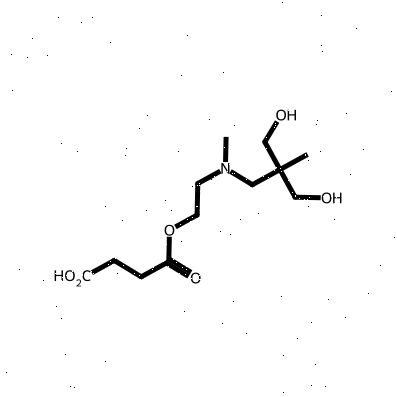 CN(CCOC(=O)CCC(=O)O)CC(C)(CO)CO